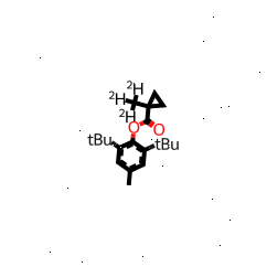 [2H]C([2H])([2H])C1(C(=O)Oc2c(C(C)(C)C)cc(C)cc2C(C)(C)C)CC1